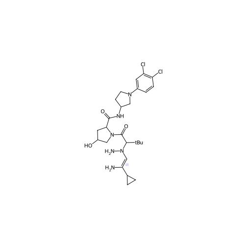 CC(C)(C)C(C(=O)N1CC(O)CC1C(=O)NC1CCN(c2ccc(Cl)c(Cl)c2)C1)N(N)/C=C(\N)C1CC1